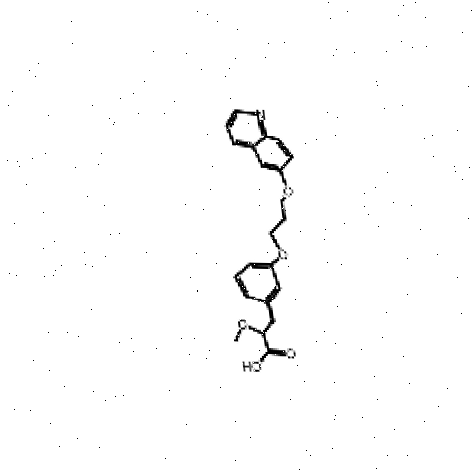 COC(Cc1cccc(OCCCOc2ccc3ncccc3c2)c1)C(=O)O